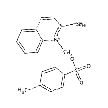 CSc1ccc2ccccc2[n+]1C.Cc1ccc(S(=O)(=O)[O-])cc1